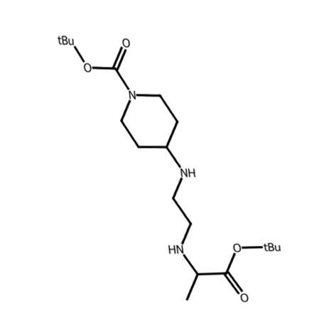 CC(NCCNC1CCN(C(=O)OC(C)(C)C)CC1)C(=O)OC(C)(C)C